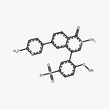 CCCOc1ccc(S(=O)(=O)CC)cc1-c1cn(C)c(=O)c2ccc(-c3ccc(C)nc3)cc12